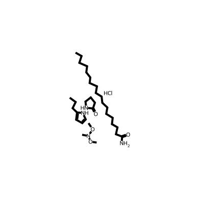 CCCCCCCCCCCCCCCCCC(N)=O.CCCc1ccc[nH]1.CON(C)OC.Cl.O=C1CCCN1